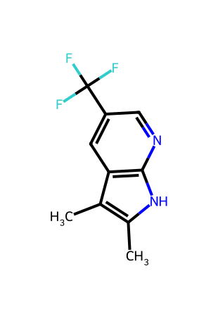 Cc1[nH]c2ncc(C(F)(F)F)cc2c1C